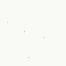 COc1cc(CNC(=O)n2c3c(c4cc(C#N)ccc42)CN(C/C=C/c2ccc(Cl)cc2Cl)CC3)ccn1